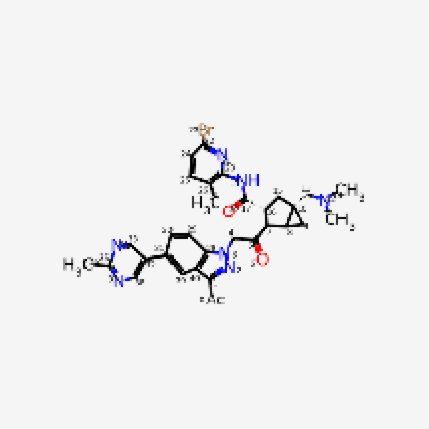 CC(=O)c1nn(CC(=O)C2C3C[C@]3(CN(C)C)C[C@H]2C(=O)Nc2nc(Br)ccc2C)c2ccc(-c3cnc(C)nc3)cc12